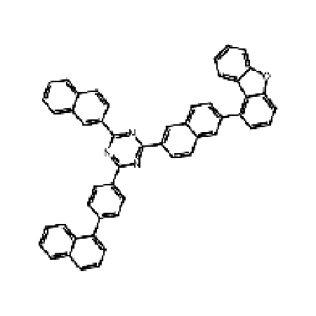 c1ccc2cc(-c3nc(-c4ccc(-c5cccc6ccccc56)cc4)nc(-c4ccc5cc(-c6cccc7oc8ccccc8c67)ccc5c4)n3)ccc2c1